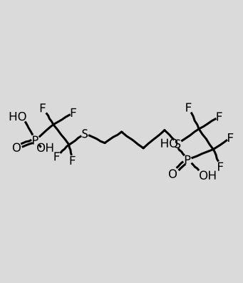 O=P(O)(O)C(F)(F)C(F)(F)SCCCCSC(F)(F)C(F)(F)P(=O)(O)O